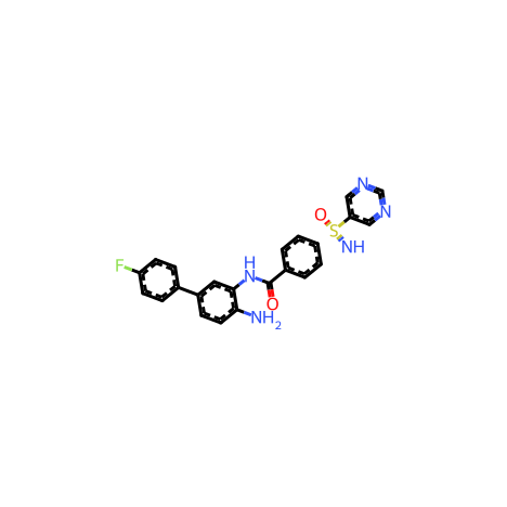 N=[S@@](=O)(c1ccc(C(=O)Nc2cc(-c3ccc(F)cc3)ccc2N)cc1)c1cncnc1